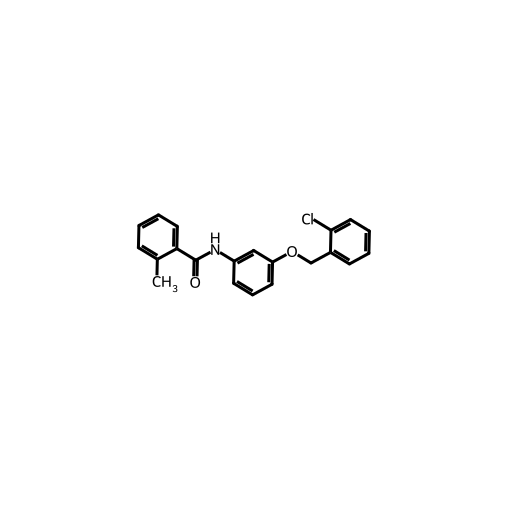 Cc1ccccc1C(=O)Nc1cccc(OCc2ccccc2Cl)c1